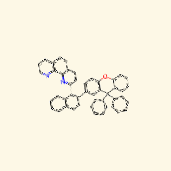 c1ccc(C2(c3ccccc3)c3ccccc3Oc3ccc(-c4ccc5ccccc5c4-c4ccc5ccc6cccnc6c5n4)cc32)cc1